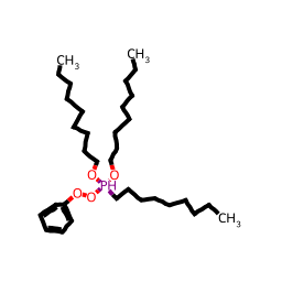 CCCCCCCCCO[PH](CCCCCCCCC)(OCCCCCCCCC)OOc1ccccc1